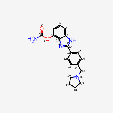 NC(=O)Oc1cccc2[nH]c(-c3ccc(CN4CCCC4)cc3)nc12